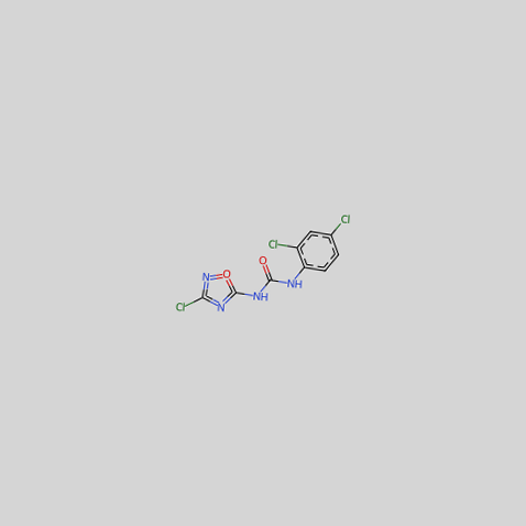 O=C(Nc1nc(Cl)no1)Nc1ccc(Cl)cc1Cl